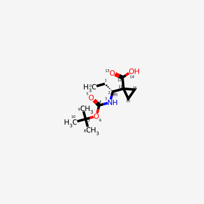 CC[C@@H](NC(=O)OC(C)(C)C)C1(C(=O)O)CC1